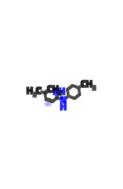 C=C(C)/C=C\C(=N)NC1CCC(C)CC1